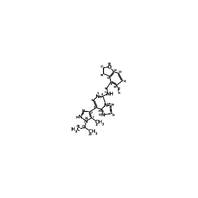 Cc1c(-c2cnc(NCc3c(F)ccc4c3CCO4)n3ccnc23)cnn1C(C)C